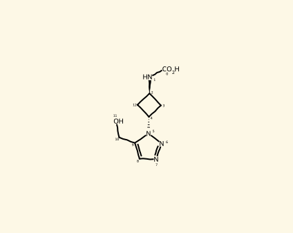 O=C(O)N[C@H]1C[C@H](n2nncc2CO)C1